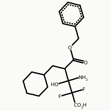 NC(O)(C(CC1CCCCC1)C(=O)OCc1ccccc1)C(F)(F)C(=O)O